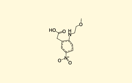 COCCNc1ccc([N+](=O)[O-])cc1CC(=O)O